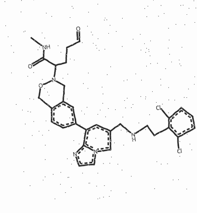 CNC(=O)C(CCC=O)N1Cc2cc(-c3cc(CNCCc4c(Cl)cccc4Cl)cn4ccnc34)ccc2CO1